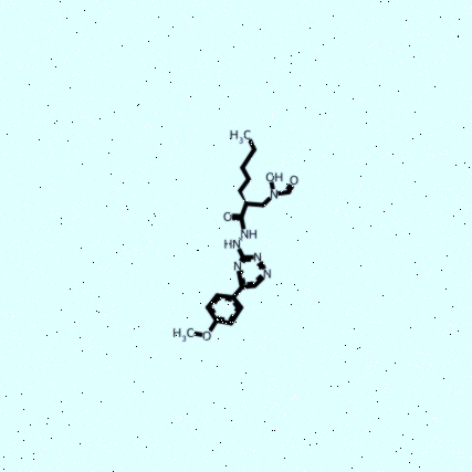 CCCCC[C@@H](CN(O)C=O)C(=O)NNc1nncc(-c2ccc(OC)cc2)n1